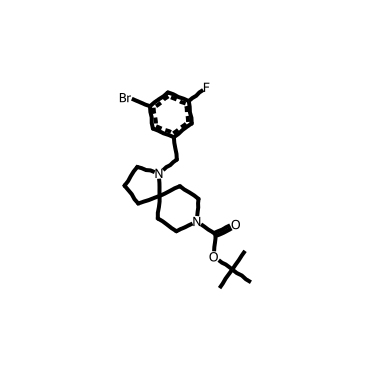 CC(C)(C)OC(=O)N1CCC2(CCCN2Cc2cc(F)cc(Br)c2)CC1